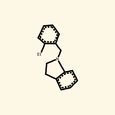 CCc1ccccc1CN1CCc2ccccc21